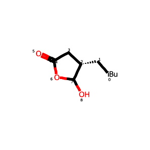 CCC(C)C[C@H]1CC(=O)OC1O